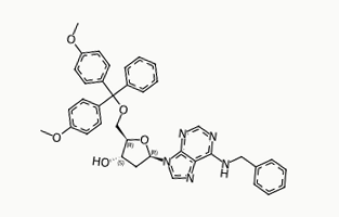 COc1ccc(C(OC[C@H]2O[C@@H](n3cnc4c(NCc5ccccc5)ncnc43)C[C@@H]2O)(c2ccccc2)c2ccc(OC)cc2)cc1